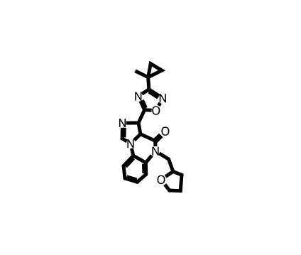 CC1(c2noc(C3N=CN4c5ccccc5N(CC5CCCO5)C(=O)C34)n2)CC1